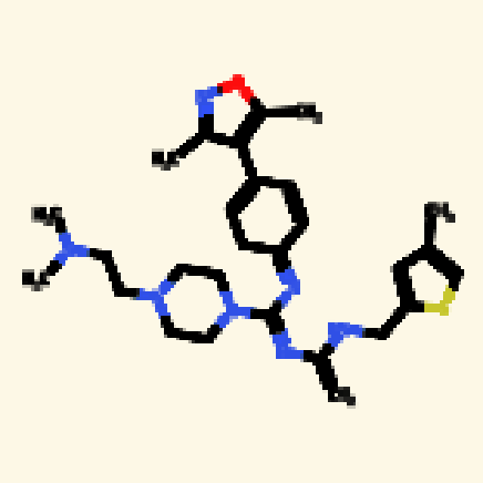 C=C(/N=C(\N=C1\C=CC(c2c(C)noc2C)=CC1)N1CCN(CCN(C)C)CC1)NCc1cc(C)cs1